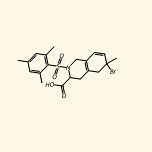 Cc1cc(C)c(S(=O)(=O)N2CC3=C(CC2C(=O)O)CC(C)(Br)C=C3)c(C)c1